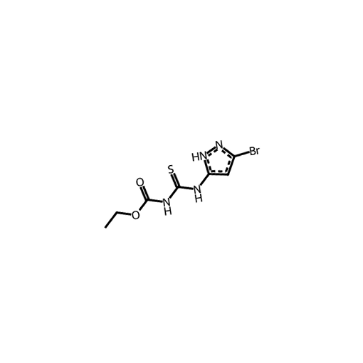 CCOC(=O)NC(=S)Nc1cc(Br)n[nH]1